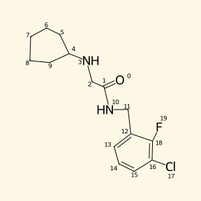 O=C(CNC1CCCCC1)NCc1cccc(Cl)c1F